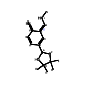 CN/C=C1/C=C(B2OC(C)(C)C(C)(C)O2)C=CC1=N